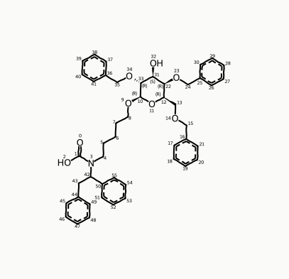 O=C(O)N(CCCCCO[C@@H]1O[C@H](COCc2ccccc2)[C@H](OCc2ccccc2)[C@H](O)[C@H]1OCc1ccccc1)C(Cc1ccccc1)c1ccccc1